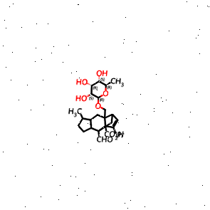 CC(C)C1=CC2CC3(C=O)C4CCC(C)C4CC2(CO[C@@H]2O[C@H](C)[C@@H](O)[C@@H](O)[C@@H]2O)C13C(=O)O